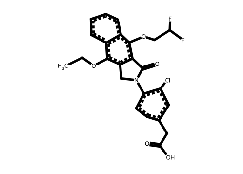 CCOc1c2c(c(OCC(F)F)c3ccccc13)C(=O)N(c1ccc(CC(=O)O)cc1Cl)C2